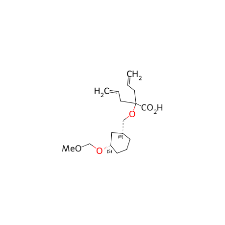 C=CCC(CC=C)(OC[C@@H]1CCC[C@H](OCOC)C1)C(=O)O